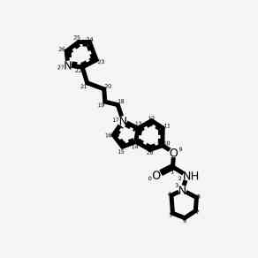 O=C(NN1CCCCC1)Oc1ccc2c(ccn2CCCCc2ccccn2)c1